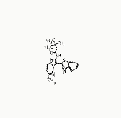 Cc1ccc2nc(NC(=O)CC(C)(C)C)c(-c3nc4ccccc4s3)n2n1